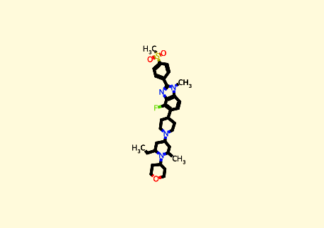 CCC1CC(N2CCC(c3ccc4c(nc(-c5ccc(S(C)(=O)=O)cc5)n4C)c3F)CC2)CC(C)N1C1CCOCC1